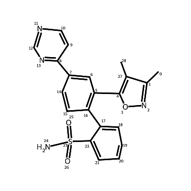 Cc1noc(-c2cc(-c3ccncn3)ccc2-c2ccccc2S(N)(=O)=O)c1C